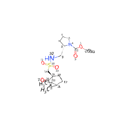 CC(C)(C)OC(=O)N1CCC[C@H]1CNS(=O)(=O)C[C@]12CCC(CC1=O)C2(C)C